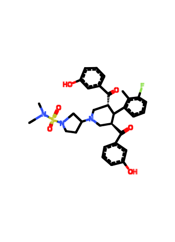 Cc1c(F)cccc1C1[C@@H](C(=O)c2cccc(O)c2)CN(C2CCN(S(=O)(=O)N(C)C)C2)C[C@@H]1C(=O)c1cccc(O)c1